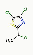 CC(Cl)c1nc(Cl)c(Cl)s1